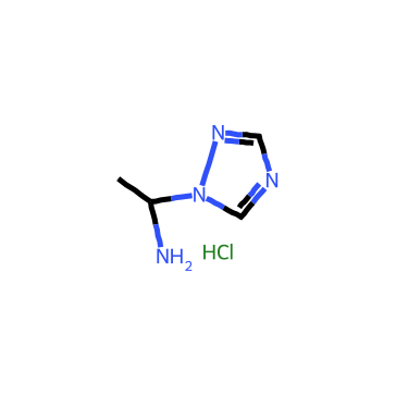 CC(N)n1cncn1.Cl